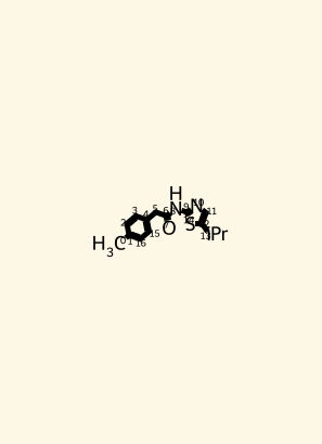 Cc1ccc(CC(=O)Nc2ncc(C(C)C)s2)cc1